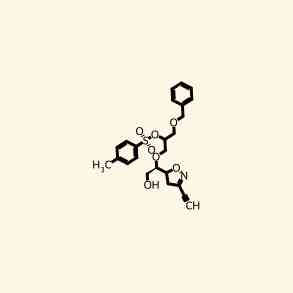 C#CC1=NOC([C@@H](CO)OCC(COCc2ccccc2)OS(=O)(=O)c2ccc(C)cc2)C1